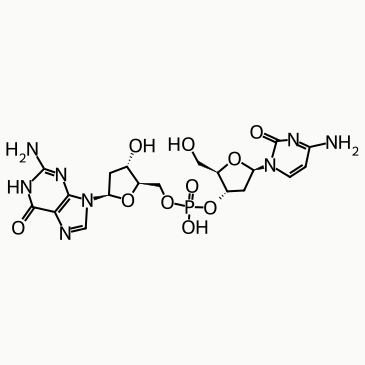 Nc1ccn([C@H]2C[C@H](OP(=O)(O)OC[C@H]3O[C@@H](n4cnc5c(=O)[nH]c(N)nc54)C[C@@H]3O)[C@@H](CO)O2)c(=O)n1